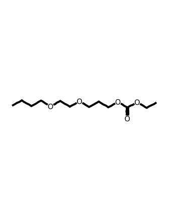 CCCCOCCOCCCOC(=O)OCC